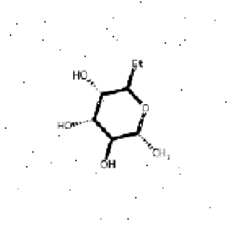 CCC1O[C@H](C)C(O)[C@H](O)[C@@H]1O